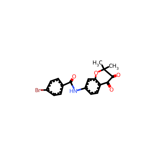 CC1(C)Oc2cc(NC(=O)c3ccc(Br)cc3)ccc2C(=O)C1=O